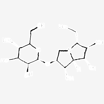 OCC1O[C@@H](O[C@H]2CN3[C@@H]([C@@H](O)[C@H](O)[C@H]3CO)[C@@H]2O)[C@@H](O)C(O)[C@@H]1O